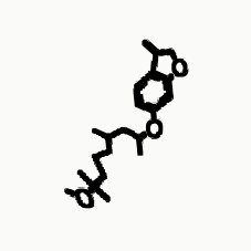 COC(C)(C)CCCC(C)CC(C)Oc1ccc2c(c1)OCC2C